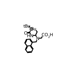 CCC(C)CC(NC(=O)OC(C)(C)C)N(CC(=O)O)Cc1cccc2ccccc12